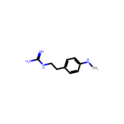 CNc1ccc(CCNC(=N)N)cc1